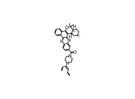 C=C/C=C(\C=C)N1CCN(C(=O)c2ccc3nc4c(nc3c2)c2c(c3ccccc34)OC(C)(C)[C@H]3CC[C@H](C)C[C@H]23)CC1